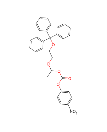 CC(OCCOC(c1ccccc1)(c1ccccc1)c1ccccc1)OC(=O)Oc1ccc([N+](=O)[O-])cc1